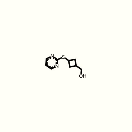 OCC1CC(Sc2ncccn2)C1